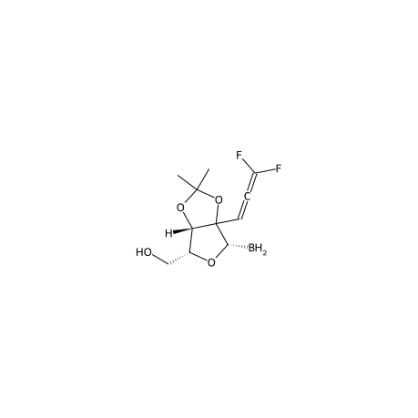 B[C@@H]1O[C@H](CO)[C@@H]2OC(C)(C)OC12C=C=C(F)F